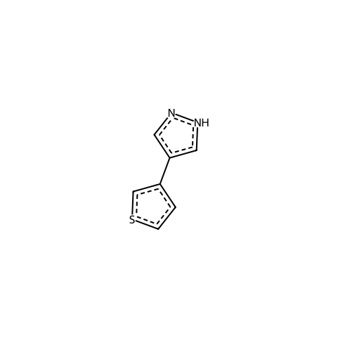 c1cc(-c2cn[nH]c2)cs1